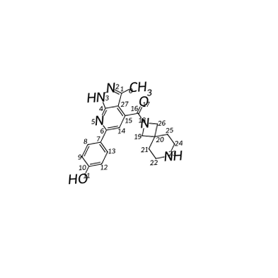 Cc1n[nH]c2nc(-c3ccc(O)cc3)cc(C(=O)N3CC4(CCNCC4)C3)c12